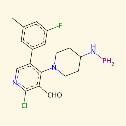 Cc1cc(F)cc(-c2cnc(Cl)c(C=O)c2N2CCC(NP)CC2)c1